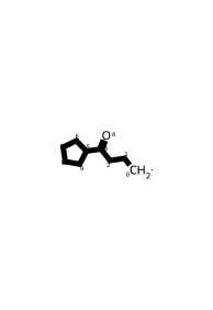 [CH2]CCC(=O)C1CCCC1